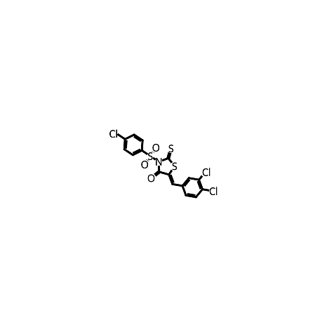 O=C1C(=Cc2ccc(Cl)c(Cl)c2)SC(=S)N1S(=O)(=O)c1ccc(Cl)cc1